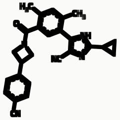 Cc1cc(C)c(-c2[nH]c(C3CC3)nc2C#N)cc1C(=O)N1CC(c2ccc(C#N)cc2)C1